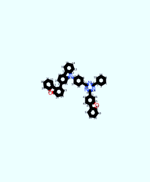 c1ccc(-c2nc(-c3ccc(-n4c5ccccc5c5ccc(-c6cccc7oc8ccccc8c67)cc54)cc3)nc(-c3ccc4c(c3)oc3ccccc34)n2)cc1